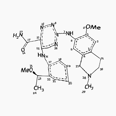 COc1cc2c(cc1Nc1nnc(C(N)=O)c(Nc3ccccc3[C@@H](C)OC)n1)CN(C)CC2